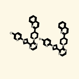 Brc1ccc(N2CC(c3nccnc3N3CCC(c4ccc5ccccc5n4)CC3)C2)nc1.Clc1ccc(N2CC(c3nccnc3N3CCC(c4ccc5ccccc5n4)CC3)C2)nc1